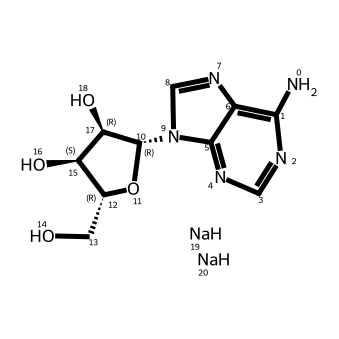 Nc1ncnc2c1ncn2[C@@H]1O[C@H](CO)[C@@H](O)[C@H]1O.[NaH].[NaH]